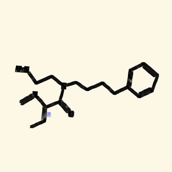 C=N/C(=C\C)C(=O)N(CCCCc1ccccc1)CCNC